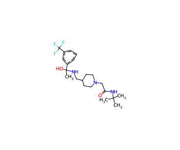 CC(C)(C)NC(=O)CN1CCC(CNC(C)(O)c2cccc(C(F)(F)F)c2)CC1